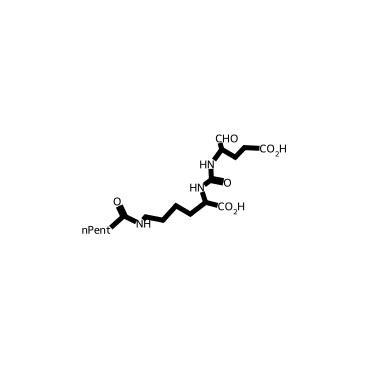 CCCCCC(=O)NCCCCC(NC(=O)NC(C=O)CCC(=O)O)C(=O)O